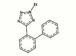 CCn1nnc(-c2ccccc2-c2ccccc2)n1